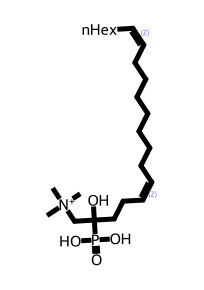 CCCCCC/C=C\CCCCCCC/C=C\CCC(O)(C[N+](C)(C)C)P(=O)(O)O